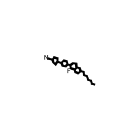 CCCCCCCc1ccc2c(F)c(-c3ccc(-c4ccc(C#N)cc4)cc3)ccc2c1